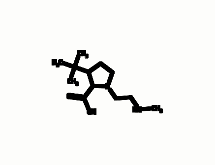 CNCCN1CCC(C(C)(C)C)C1C(=O)O